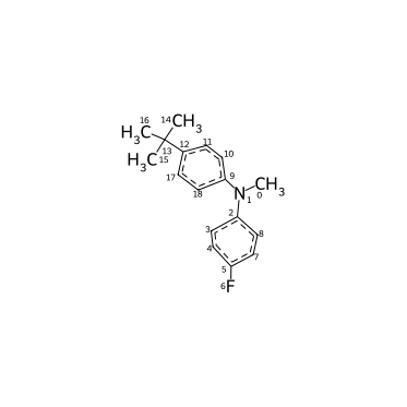 CN(c1ccc(F)cc1)c1ccc(C(C)(C)C)cc1